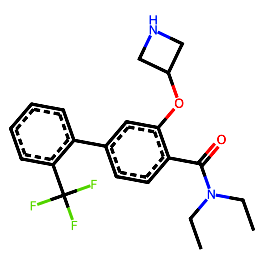 CCN(CC)C(=O)c1ccc(-c2ccccc2C(F)(F)F)cc1OC1CNC1